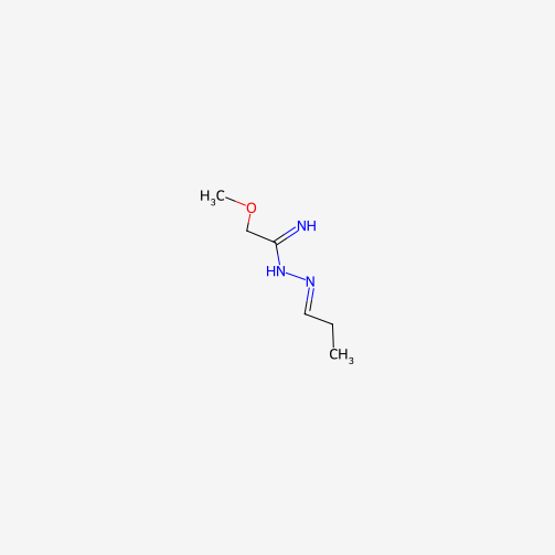 CC/C=N/NC(=N)COC